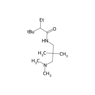 CCC(C(=O)NCC(C)(C)CN(C)C)C(C)(C)C